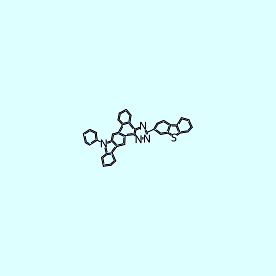 c1ccc(-n2c3ccccc3c3cc4c(cc32)c2ccccc2c2nc(-c3ccc5c(c3)sc3ccccc35)nnc42)cc1